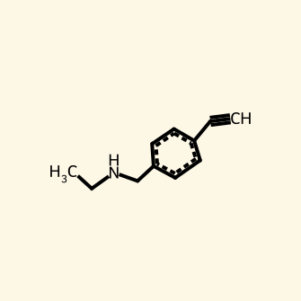 C#Cc1ccc(CNCC)cc1